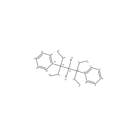 CCC(CC)(c1ccccc1)C(F)(F)C(CC)(CC)c1ccccc1